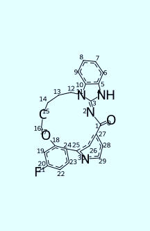 O=C1/N=C2\Nc3ccccc3N2CCCCCOc2cc(F)ccc2-c2cc1ccn2